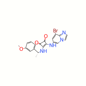 COc1cccc([C@@H](C)Nc2c(Nc3cc(Br)c4nccn4c3)c(=O)c2=O)c1